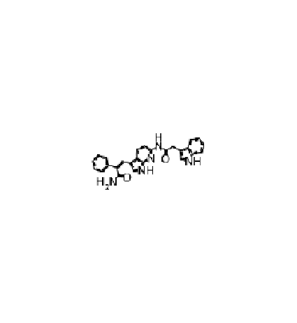 NC(=O)C(=Cc1c[nH]c2nc(NC(=O)Cc3c[nH]c4ccccc34)ccc12)c1ccccc1